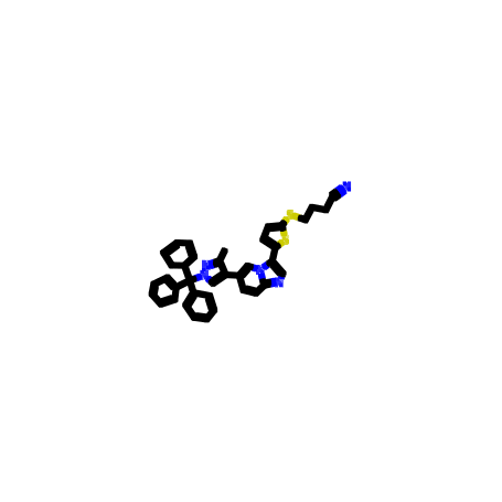 Cc1nn(C(c2ccccc2)(c2ccccc2)C2C=CC=CC2)cc1-c1ccc2ncc(-c3ccc(SCCCC#N)s3)n2c1